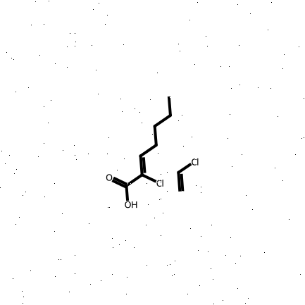 C=CCl.CCCCC=C(Cl)C(=O)O